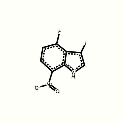 O=[N+]([O-])c1ccc(F)c2c(I)c[nH]c12